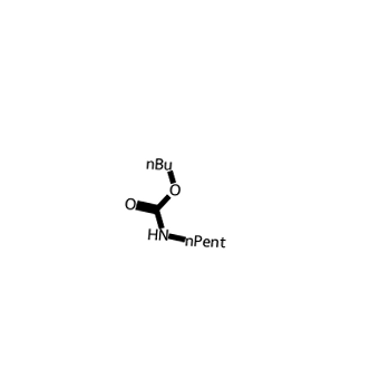 [CH2]CCCCNC(=O)OCCCC